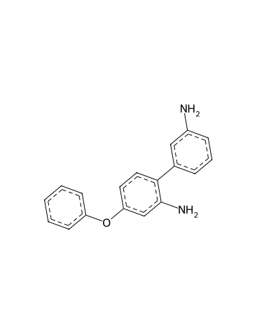 Nc1cccc(-c2ccc(Oc3ccccc3)cc2N)c1